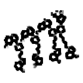 O=C1CCCc2c1ccn2CCCCCN1CCN(c2ccc(Cl)c(C(F)(F)F)c2)CC1.O=C1CCCc2c1ccn2CCCCN1CCN(c2ccnc3ccc(Cl)cc23)CC1.O=C1CCCc2c1ccn2CCCN1CCN(c2ccnc3ccc(Cl)cc23)CC1.O=C1CCCc2c1ccn2CCN1CCN(c2ccnc3ccc(Cl)cc23)CC1